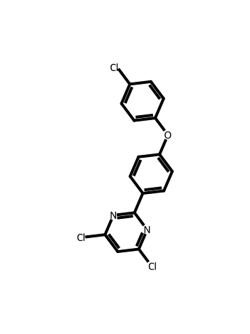 Clc1ccc(Oc2ccc(-c3nc(Cl)cc(Cl)n3)cc2)cc1